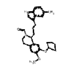 COc1cc2c(cc1OC1CCCC1)[C@H](CCCc1c[nH]c3ccc(C)cc13)N(C=O)CC2